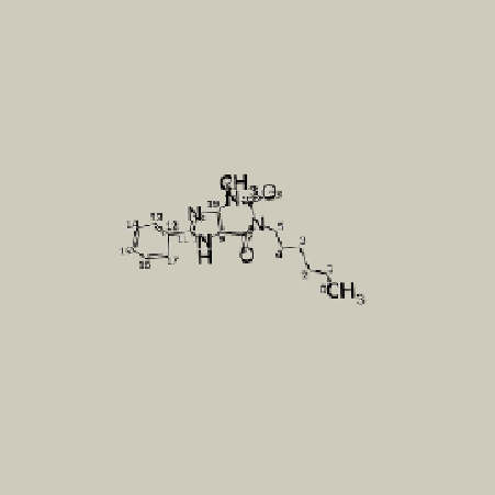 CCCCCCn1c(=O)c2[nH]c(-c3ccccc3)nc2n(C)c1=O